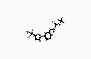 CC(C)(C)OC(=O)NCc1cccc(-n2ccc(C(F)(F)F)n2)c1